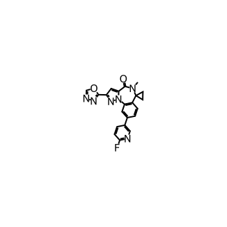 CN1C(=O)c2cc(-c3nnco3)nn2-c2cc(-c3ccc(F)nc3)ccc2C12CC2